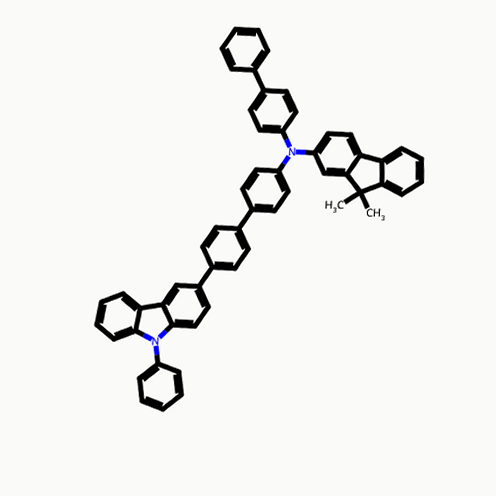 CC1(C)c2ccccc2-c2ccc(N(c3ccc(-c4ccccc4)cc3)c3ccc(-c4ccc(-c5ccc6c(c5)c5ccccc5n6-c5ccccc5)cc4)cc3)cc21